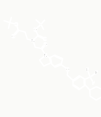 CC(C)(C)OC(=O)CCN(CC(=O)N1CCc2cc(OCc3ccc(C4CCCCC4)c(C(F)(F)F)c3)ccc21)C(=O)OC(C)(C)C